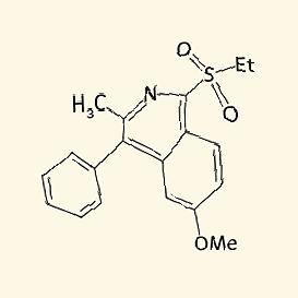 CCS(=O)(=O)c1nc(C)c(-c2ccccc2)c2cc(OC)ccc12